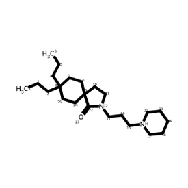 CCCC1(CCC)CCC2(CCN(CCCN3CCCCC3)C2=O)CC1